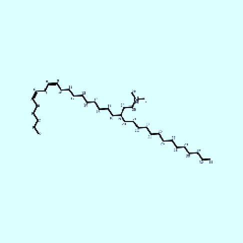 CCCCC/C=C\C/C=C\CCCCCCCCCC(CCCCCCCCCCCCCC)CCN(C)C